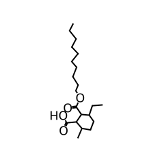 CCCCCCCCCCOC(=O)C1C(CC)CCC(C)C1C(=O)O